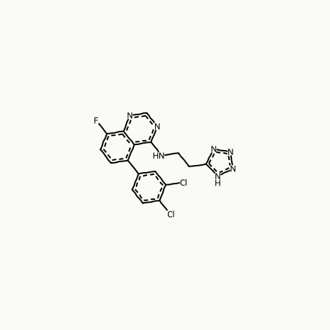 Fc1ccc(-c2ccc(Cl)c(Cl)c2)c2c(NCCc3nnn[nH]3)ncnc12